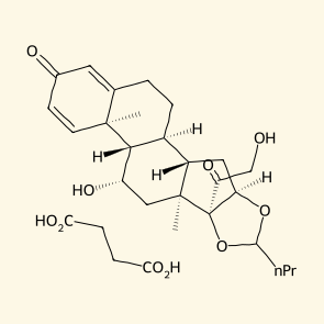 CCCC1O[C@@H]2C[C@H]3[C@@H]4CCC5=CC(=O)C=C[C@]5(C)[C@H]4[C@@H](O)C[C@]3(C)[C@]2(C(=O)CO)O1.O=C(O)CCC(=O)O